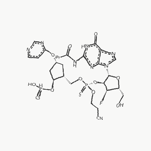 CC(C)C(=O)Nc1nc2c(ncn2[C@@H]2O[C@H](CO)[C@@H](F)[C@H]2O[P@@](=S)(OCCC#N)OC[C@H]2C[C@@H](Oc3ccncn3)C[C@@H]2O[PH](=O)O)c(=O)[nH]1